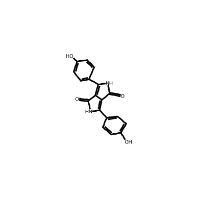 O=C1NC(c2ccc(O)cc2)=C2C(=O)NC(c3ccc(O)cc3)=C12